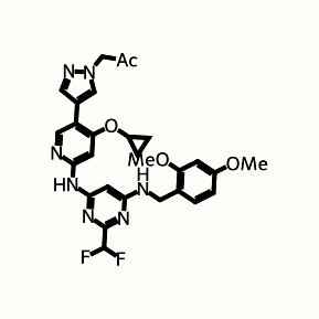 COc1ccc(CNc2cc(Nc3cc(OC4CC4)c(-c4cnn(CC(C)=O)c4)cn3)nc(C(F)F)n2)c(OC)c1